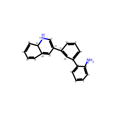 Nc1ccccc1-c1cccc(C2=CNC3C=CC=CC3=C2)c1